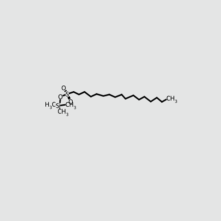 CCCCCCCCCCCCCCCCCS(=O)(=O)O[Si](C)(C)C